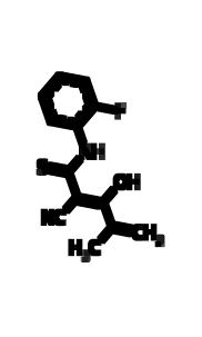 C=C(C)C(O)=C(C#N)C(=S)Nc1ccccc1F